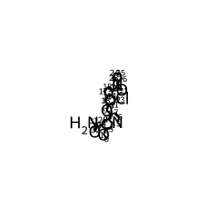 COc1cc2nccc(Oc3cc(Cl)c4c(c3)CC=C4C(=O)N3CCCC3)c2cc1C(N)=O